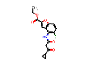 CCOC(=O)c1cc2c(NC(=O)CC(=O)C3CC3)c(F)ccc2o1